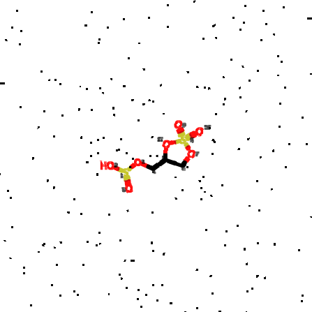 O=S(O)OCC1COS(=O)(=O)O1